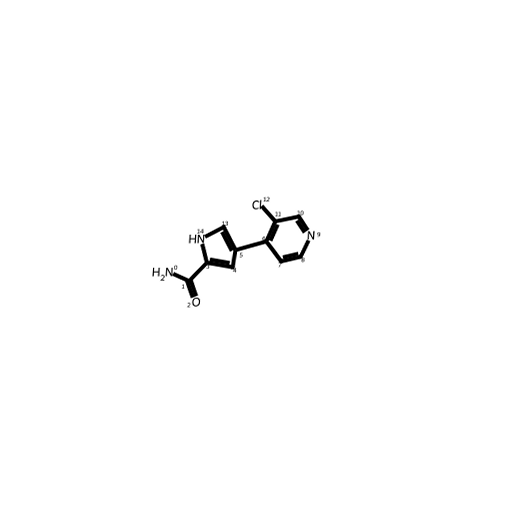 NC(=O)c1cc(-c2ccncc2Cl)c[nH]1